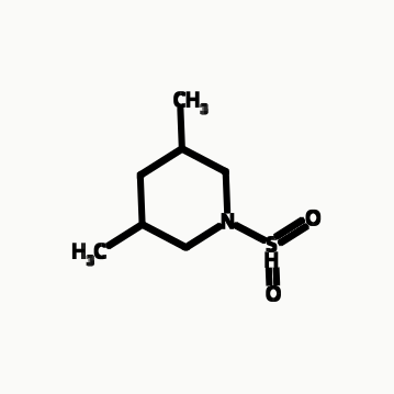 CC1CC(C)CN([SH](=O)=O)C1